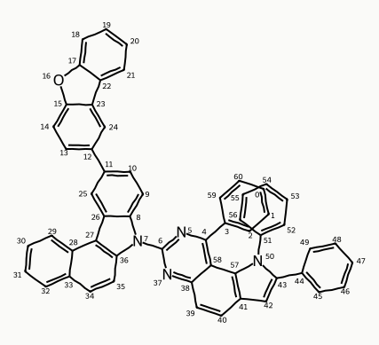 c1ccc(-c2nc(-n3c4ccc(-c5ccc6oc7ccccc7c6c5)cc4c4c5ccccc5ccc43)nc3ccc4cc(-c5ccccc5)n(-c5ccccc5)c4c23)cc1